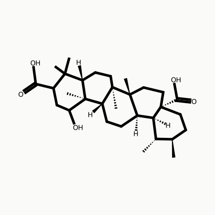 C[C@@H]1[C@H]2[C@H]3CC[C@@H]4[C@@]5(C)C(O)CC(C(=O)O)C(C)(C)[C@@H]5CC[C@@]4(C)[C@]3(C)CC[C@@]2(C(=O)O)CC[C@H]1C